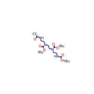 CC(C)(C)OC(=O)NCCN(CCN(CCNC(=O)C(F)(F)F)C(=O)OC(C)(C)C)C(=O)OC(C)(C)C